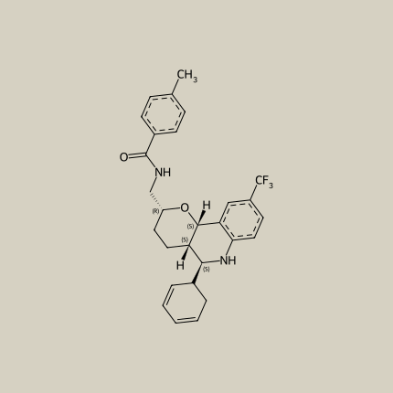 Cc1ccc(C(=O)NC[C@H]2CC[C@@H]3[C@H](O2)c2cc(C(F)(F)F)ccc2N[C@H]3C2C=CC=CC2)cc1